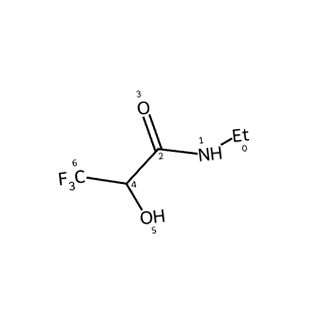 CCNC(=O)C(O)C(F)(F)F